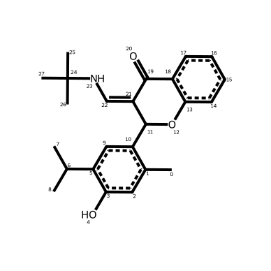 Cc1cc(O)c(C(C)C)cc1C1Oc2ccccc2C(=O)C1=CNC(C)(C)C